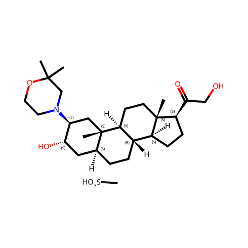 CC1(C)CN([C@H]2C[C@@]3(C)[C@@H](CC[C@@H]4[C@@H]3CC[C@]3(C)[C@@H](C(=O)CO)CC[C@@H]43)C[C@@H]2O)CCO1.CS(=O)(=O)O